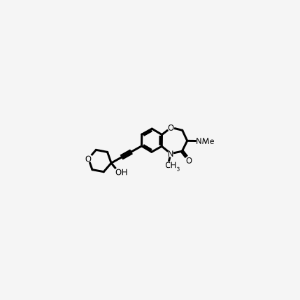 CNC1COc2ccc(C#CC3(O)CCOCC3)cc2N(C)C1=O